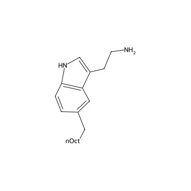 CCCCCCCCCc1ccc2[nH]cc(CCN)c2c1